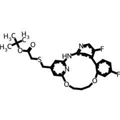 CC(C)(C)OC(=O)CSCc1cc2nc(c1)OCCCOc1cc(F)ccc1-c1cc(ncc1F)N2